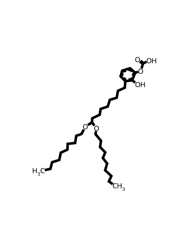 CCCCCCCCCCOC(CCCCCCCCc1cccc(OC(=O)O)c1O)OCCCCCCCCCC